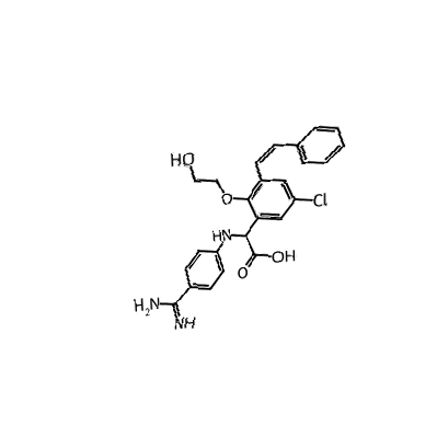 N=C(N)c1ccc(NC(C(=O)O)c2cc(Cl)cc(/C=C\c3ccccc3)c2OCCO)cc1